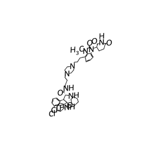 Cn1c(=O)n(C2CCC(=O)NC2=O)c2cccc(CCCN3CCN(CCCNC(=O)[C@@H]4NC5(CCCCC5)[C@@]5(C(=O)Nc6cc(Cl)ccc65)[C@H]4c4cccc(Cl)c4F)CC3)c21